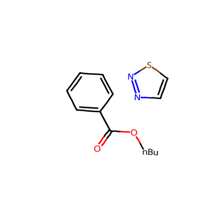 CCCCOC(=O)c1ccccc1.c1csnn1